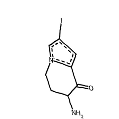 NC1CCn2cc(I)cc2C1=O